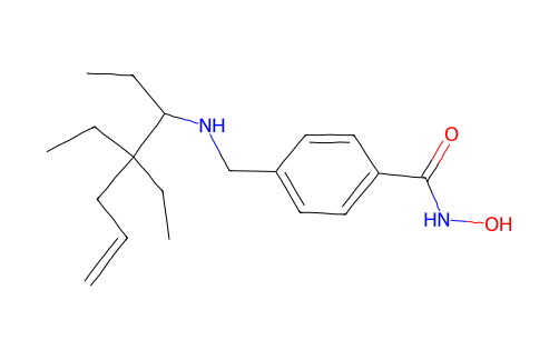 C=CCC(CC)(CC)C(CC)NCc1ccc(C(=O)NO)cc1